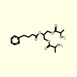 CC(N)C(=O)OCC(COC(=O)C(C)N)OC(=O)CCCc1ccccc1